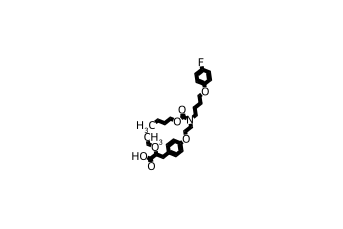 CCCCOC(=O)N(CCCCOc1ccc(F)cc1)CCOc1ccc(CC(OCC)C(=O)O)cc1